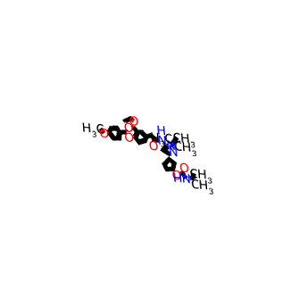 COc1ccc(COc2ccc(CC(=O)Nc3cc([C@H]4CC[C@@H](OC(=O)NC(C)C)C4)nn3C(C)(C)C)cc2C2OCCO2)cc1